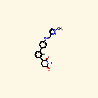 Cn1ccc(CNc2ccc(-c3cccc(C4CCC(=O)NC4=O)c3Cl)cc2)n1